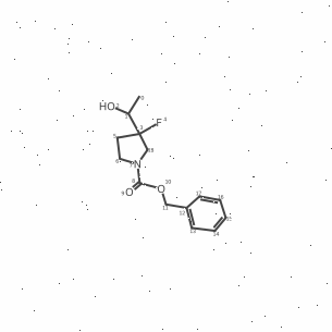 CC(O)C1(F)CCN(C(=O)OCc2ccccc2)C1